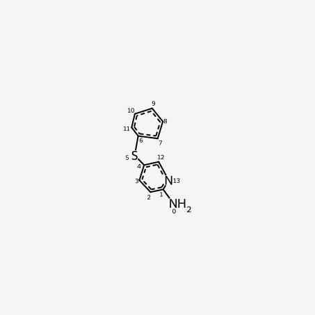 Nc1ccc(Sc2ccccc2)cn1